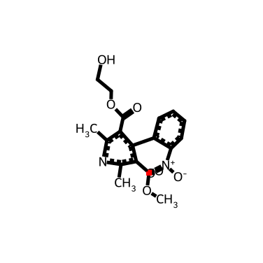 COC(=O)c1c(C)nc(C)c(C(=O)OCCO)c1-c1ccccc1[N+](=O)[O-]